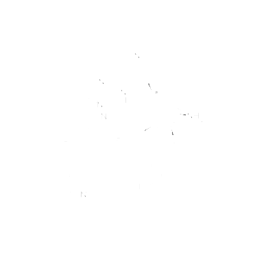 C[C@H]1C[C@@H](c2ccncc2Nc2ncc3ccc(-c4c(F)cc(CN5CCCC5=O)cc4F)nn23)C[C@@H](N)[C@H]1OCCS(C)(=O)=O